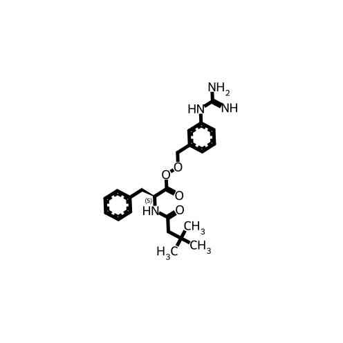 CC(C)(C)CC(=O)N[C@@H](Cc1ccccc1)C(=O)OOCc1cccc(NC(=N)N)c1